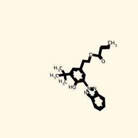 CC=CC(=O)OCCc1cc(-n2nc3ccccc3n2)c(O)c(C(C)(C)C)c1